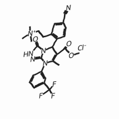 COC(=O)C1=C(C)N(c2cccc(C(F)(F)F)c2)c2n[nH]c(=O)n2C1c1ccc(C#N)cc1CC[N+](C)(C)C.[Cl-]